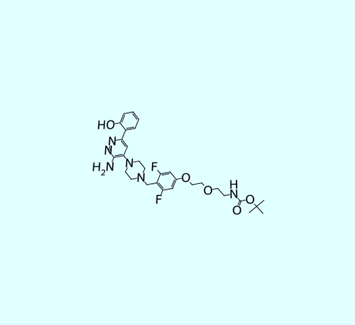 CC(C)(C)OC(=O)NCCOCCOc1cc(F)c(CN2CCN(c3cc(-c4ccccc4O)nnc3N)CC2)c(F)c1